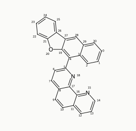 c1ccc2c(-c3ccc4ccc5cccnc5c4n3)c3oc4ccccc4c3cc2c1